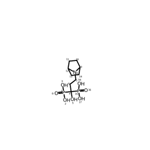 O=P(O)(O)C(O)(CCN1C2CCC1CC2)P(=O)(O)O